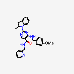 COc1ccc(CNc2nc(N3c4ccccc4CC3C)ncc2C(=O)NCc2ccccn2)cc1